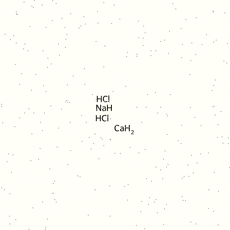 Cl.Cl.[CaH2].[NaH]